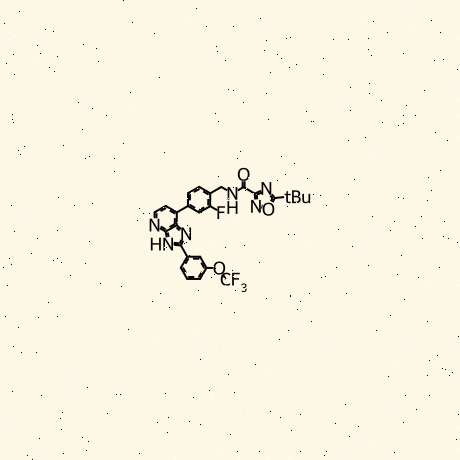 CC(C)(C)c1nc(C(=O)NCc2ccc(-c3ccnc4[nH]c(-c5cccc(OC(F)(F)F)c5)nc34)cc2F)no1